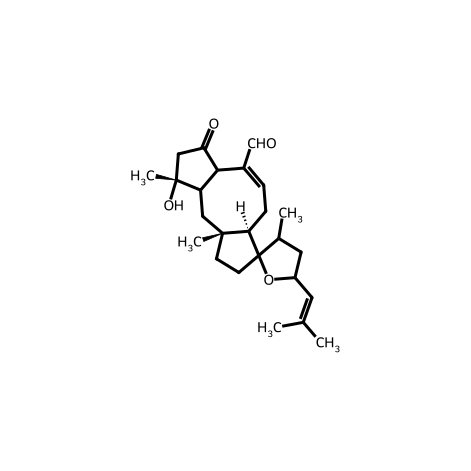 CC(C)=CC1CC(C)C2(CC[C@]3(C)CC4C(C(=O)C[C@@]4(C)O)/C(C=O)=C\C[C@@H]23)O1